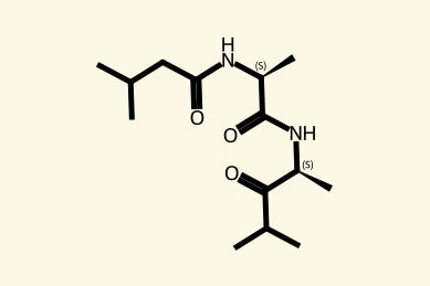 CC(C)CC(=O)N[C@@H](C)C(=O)N[C@@H](C)C(=O)C(C)C